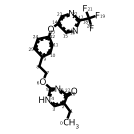 CCc1c[nH]c(OCCc2ccc(Oc3cnc(C(F)(F)F)nc3)cc2)nc1=O